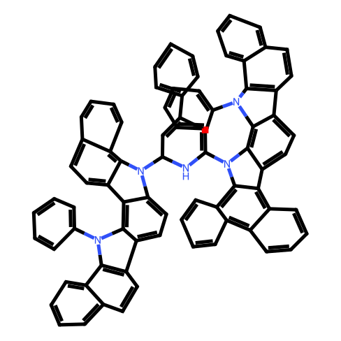 C1=C(c2ccccc2)C=C(n2c3c4ccccc4c4ccccc4c3c3ccc4c5ccc6ccccc6c5n(-c5ccccc5)c4c32)NC1n1c2ccc3c4ccc5ccccc5c4n(-c4ccccc4)c3c2c2ccc3ccccc3c21